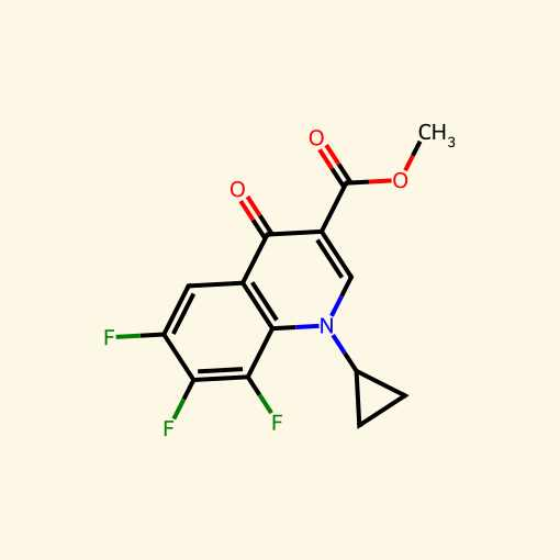 COC(=O)c1cn(C2CC2)c2c(F)c(F)c(F)cc2c1=O